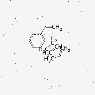 C=C.C=C.C=CC.C=Cc1ccccc1